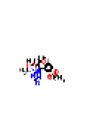 CN/C(=N/C#N)N[C@H]1c2cc(S(C)(=O)=O)ccc2OC(C)(C)[C@@H]1O